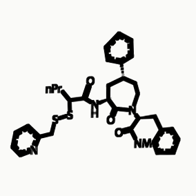 CCCC(SSCc1ccccn1)C(=O)N[C@H]1C[C@H](c2ccccc2)CCN([C@@H](Cc2ccccc2)C(=O)NC)C1=O